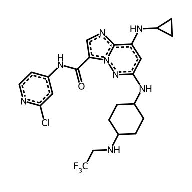 O=C(Nc1ccnc(Cl)c1)c1cnc2c(NC3CC3)cc(NC3CCC(NCC(F)(F)F)CC3)nn12